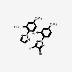 COc1ccc(-n2nc(Br)c(Br)n2)c([N+](=O)[O-])c1.COc1ccc(-n2nccn2)c(C(=O)O)c1